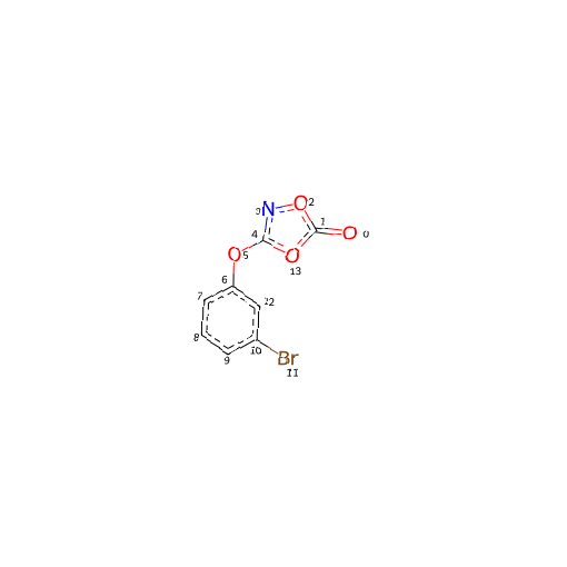 O=c1onc(Oc2cccc(Br)c2)o1